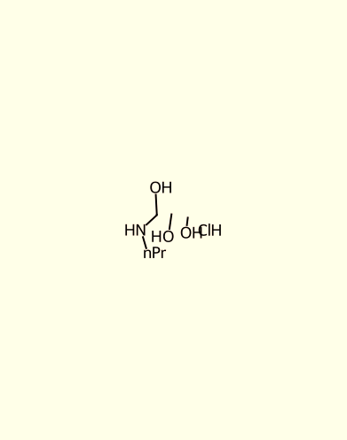 CCCNCO.CO.CO.Cl